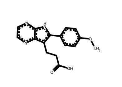 COc1ccc(-c2[nH]c3nccnc3c2CCC(=O)O)cc1